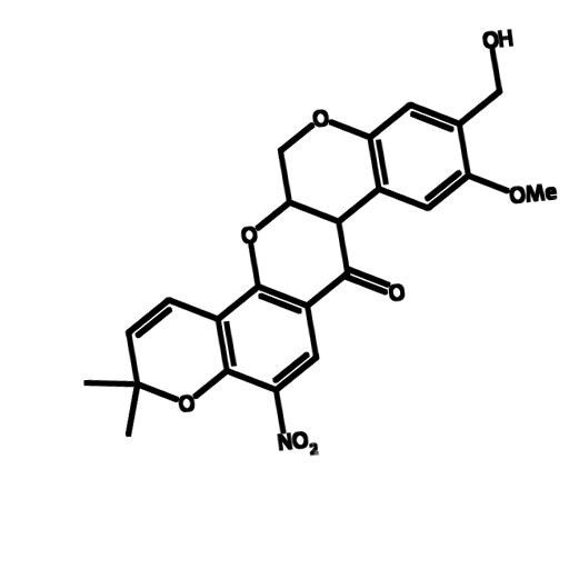 COc1cc2c(cc1CO)OCC1Oc3c(cc([N+](=O)[O-])c4c3C=CC(C)(C)O4)C(=O)C21